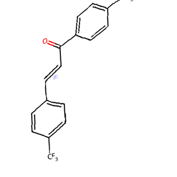 O=C(/C=C/c1ccc(C(F)(F)F)cc1)c1ccc(C(F)(F)F)cc1